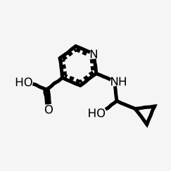 O=C(O)c1ccnc(NC(O)C2CC2)c1